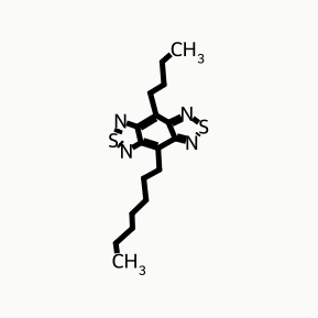 CCCCCCCc1c2c(c(CCCC)c3nsnc13)N=S=N2